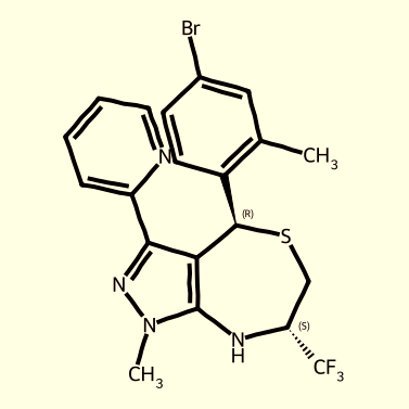 Cc1cc(Br)ccc1[C@H]1SC[C@H](C(F)(F)F)Nc2c1c(-c1ccccn1)nn2C